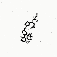 CCOC(=O)C[C@H](CC1CC1)c1cccc(OCc2ccc(-c3cc(OC)ccc3F)c(C3(O)OCCCC3(C)C)c2)c1